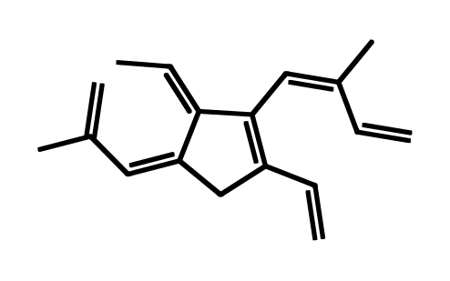 C=CC1=C(/C=C(/C)C=C)C(=C/C)/C(=C\C(=C)C)C1